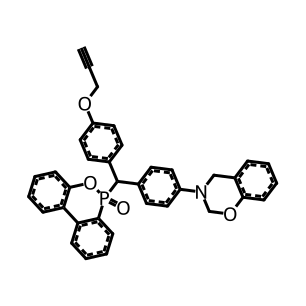 C#CCOc1ccc(C(c2ccc(N3COc4ccccc4C3)cc2)P2(=O)Oc3ccccc3-c3ccccc32)cc1